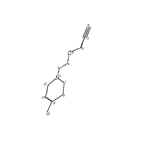 C#CCOCCN1CCC([CH2])CC1